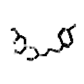 CC(CCOc1ccc(F)cc1)C[C@H](CN)CC(=O)O